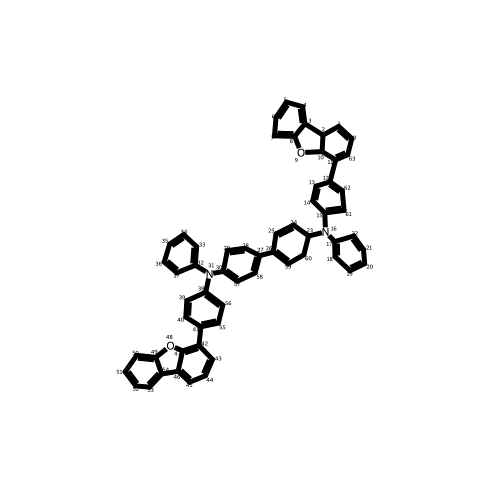 C1=CC2c3ccccc3OC2C(c2ccc(N(c3ccccc3)C3C=CC(c4ccc(N(c5ccccc5)c5ccc(-c6cccc7c6oc6ccccc67)cc5)cc4)=CC3)cc2)=C1